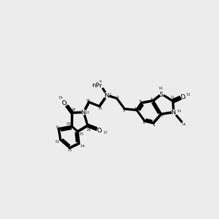 CCCN(CCc1ccc2c(c1)sc(=O)n2C)CCN1C(=O)c2ccccc2C1=O